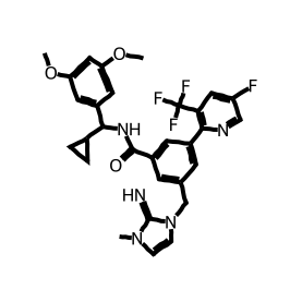 COc1cc(OC)cc(C(NC(=O)c2cc(Cn3ccn(C)c3=N)cc(-c3ncc(F)cc3C(F)(F)F)c2)C2CC2)c1